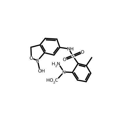 Cc1cccc(N(N)C(=O)O)c1S(=O)(=O)Nc1ccc2c(c1)B(O)OC2